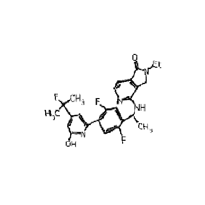 CCN1Cc2c(ccnc2N[C@@H](C)c2cc(F)c(-c3cc(C(C)(C)F)cc(O)n3)cc2F)C1=O